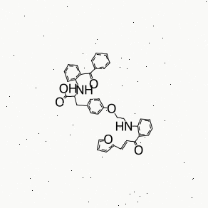 O=C(C=Cc1ccco1)c1ccccc1NCCOc1ccc(CC(Nc2ccccc2C(=O)c2ccccc2)C(=O)O)cc1